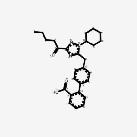 CCCCC(=O)c1nc(Cc2ccc(-c3ccccc3C(=O)O)cc2)n(C2CCCCC2)n1